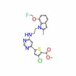 COC(=O)c1sc(-c2cc(NCCn3c(C)cc4cccc(OCF)c43)ncn2)cc1Cl